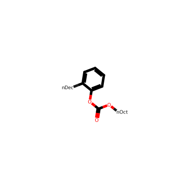 CCCCCCCCCCc1ccccc1OC(=O)OCCCCCCCC